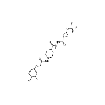 O=C(COc1ccc(Cl)c(F)c1)NN1CCC(C(=O)NNC(=O)[C@H]2C[C@@H](OC(F)(F)F)C2)CC1